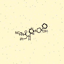 CC(C)C[C@H](Nc1ccnc(N2CCC(O)(c3ccccc3)CC2)n1)C(=O)NCC#N